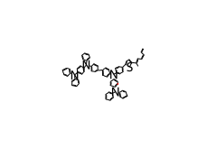 C=C/C=C\C=C(/C)c1ccc(-c2ccc(N(c3ccc(-c4ccc(N(c5ccccc5)c5ccc(N(c6ccccc6)c6ccccc6)cc5)cc4)cc3)c3ccc(N(c4ccccc4)c4ccccc4)cc3)cc2)s1